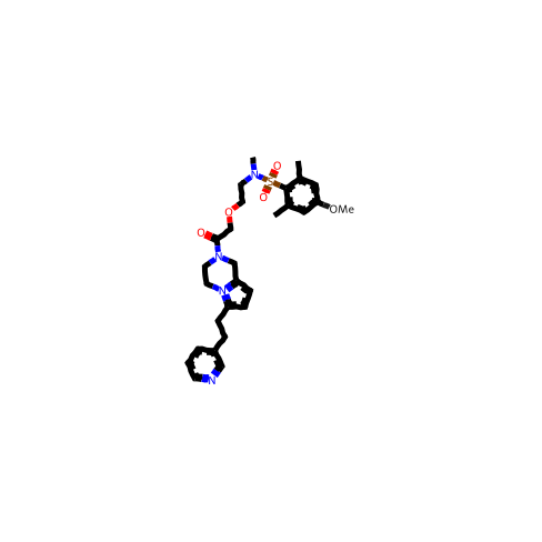 COc1cc(C)c(S(=O)(=O)N(C)CCOCC(=O)N2CCn3c(CCc4cccnc4)ccc3C2)c(C)c1